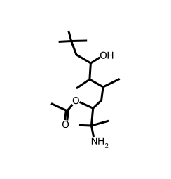 CC(=O)OC(CC(C)C(C)C(O)CC(C)(C)C)C(C)(C)N